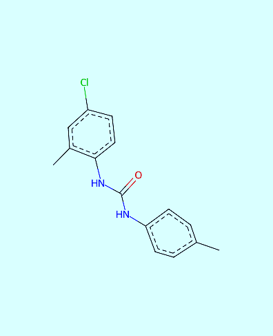 Cc1ccc(NC(=O)Nc2ccc(Cl)cc2C)cc1